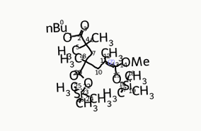 CCCCOC(=O)C(C)(C)CC(C)(C/C(C)=C(/OC)O[Si](C)(C)C)C(=O)O[Si](C)(C)C